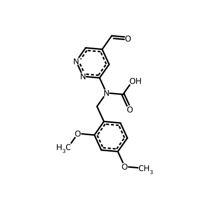 COc1ccc(CN(C(=O)O)c2cc(C=O)cnn2)c(OC)c1